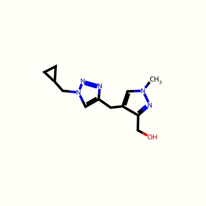 Cn1cc(Cc2cn(CC3CC3)nn2)c(CO)n1